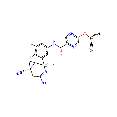 C#C[C@H](C)Oc1cnc(C(=O)Nc2cc(F)c(F)c([C@@]3(C)N=C(N)S[C@@]4(C#N)CC43)c2)cn1